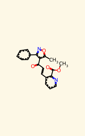 COC(=O)c1ncccc1/C=C/C(=O)c1c(-c2ccccc2)noc1C